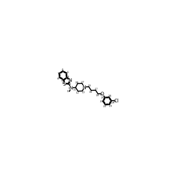 CN(c1nc2ccccc2s1)C1CCN(CCCCOc2cccc(Cl)c2)CC1